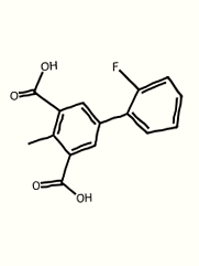 Cc1c(C(=O)O)cc(-c2ccccc2F)cc1C(=O)O